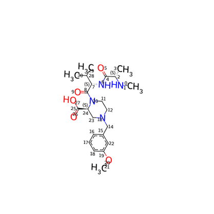 CN[C@@H](C)C(=O)N[C@H](C(=O)N1CCN(Cc2cccc(OC)c2)C[C@H]1C(=O)O)C(C)C